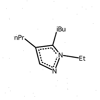 CCCc1cnn(CC)c1C(C)CC